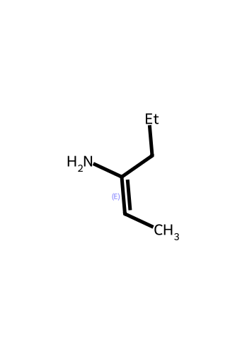 C/C=C(/N)CCC